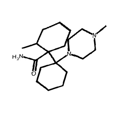 CC1CCCCC1(C(N)=O)C1(N2CCN(C)CC2)CCCCC1